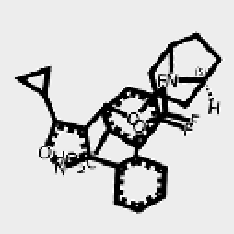 O=C(O)c1ccc(N2C3CC[C@H]2CC(OCc2c(-c4ccccc4OC(F)F)noc2C2CC2)C3)c(F)c1